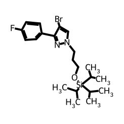 CC(C)[Si](OCCCn1cc(Br)c(-c2ccc(F)cc2)n1)(C(C)C)C(C)C